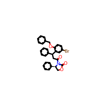 O=C(CC(c1ccccc1)c1cc(Br)ccc1OCc1ccccc1)N1C(=O)OC[C@H]1c1ccccc1